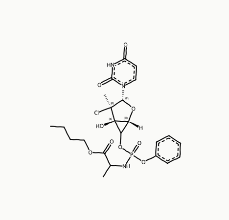 CCCCOC(=O)C(C)NP(=O)(Oc1ccccc1)OC1[C@H]2O[C@@H](n3ccc(=O)[nH]c3=O)[C@](C)(Cl)[C@@]12O